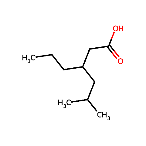 CCCC(CC(=O)O)CC(C)C